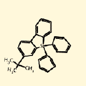 CC(C)(C)c1ccc2c(c1)[Si](c1ccccc1)(c1ccccc1)c1ccccc1-2